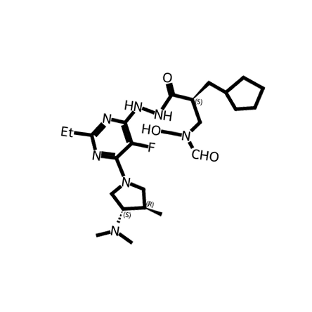 CCc1nc(NNC(=O)[C@@H](CC2CCCC2)CN(O)C=O)c(F)c(N2C[C@@H](C)[C@H](N(C)C)C2)n1